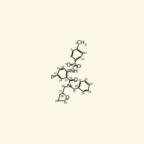 Cc1ccc(S(=O)(=O)Nc2ccc(F)cc2C(=O)N(Cc2ccccc2)CC2CCCO2)cc1